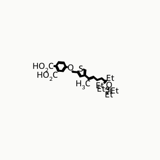 CCC(CC)(CCC=C(C)c1csc(COc2ccc(C(=O)O)c(C(=O)O)c2)c1)O[Si](CC)(CC)CC